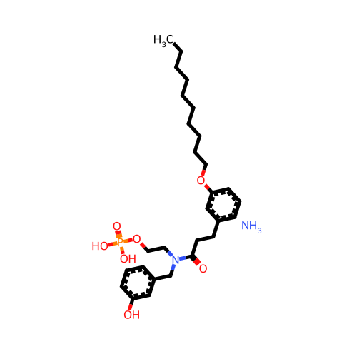 CCCCCCCCCCOc1cccc(CCC(=O)N(CCOP(=O)(O)O)Cc2cccc(O)c2)c1.N